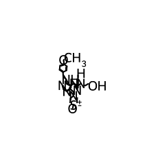 COc1ccc(CNc2ncnc3c(N4CC[S+]([O-])CC4)nc(NCCO)nc23)cc1